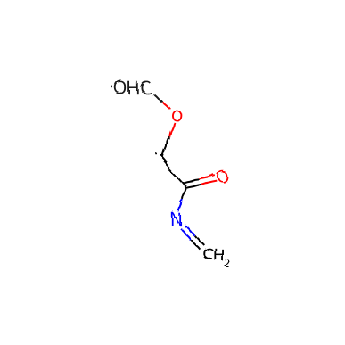 C=NC(=O)[CH]O[C]=O